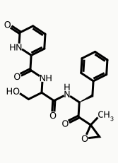 CC1(C(=O)[C@H](Cc2ccccc2)NC(=O)C(CO)NC(=O)c2cccc(=O)[nH]2)CO1